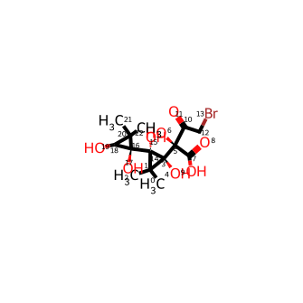 CC1(C)[C@@](O)([C@@](O)(C(=O)O)C(=O)CBr)[C@]1(O)[C@]1(O)C(O)C1(C)C